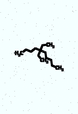 [CH2]CCCC(CC)(CC)CCCCC